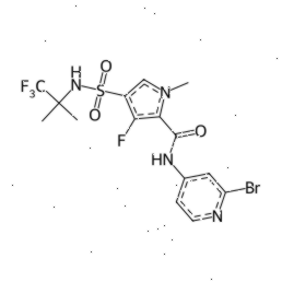 Cn1cc(S(=O)(=O)NC(C)(C)C(F)(F)F)c(F)c1C(=O)Nc1ccnc(Br)c1